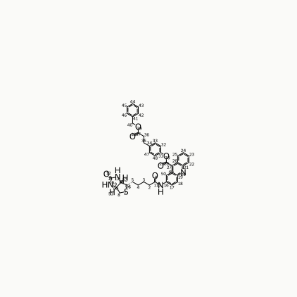 O=C(CCCC[C@@H]1SC[C@@H]2NC(=O)N[C@@H]21)Nc1ccc2nc3ccccc3c(C(=O)Oc3ccc(CCC(=O)OCc4ccccc4)cc3)c2c1